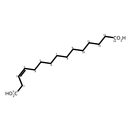 O=C(O)C/C=C\CCCCCCCCCCC(=O)O